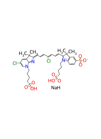 CC1(C)C(=CC=CC(Cl)=CC=CC2=[N+](CCCCS(=O)(=O)O)c3ccc(S(=O)(=O)[O-])cc3C2(C)C)N=C2C1=CC(Cl)=CN2CCCCS(=O)(=O)O.[NaH]